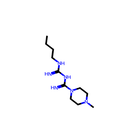 CCCCNC(=N)NC(=N)N1CCN(C)CC1